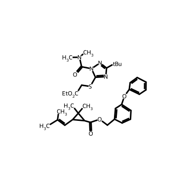 CC(C)=CC1C(C(=O)OCc2cccc(Oc3ccccc3)c2)C1(C)C.CCOC(=O)CSc1nc(C(C)(C)C)nn1C(=O)N(C)C